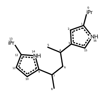 CC(C)c1cc(C(C)CC(C)c2ccc(C(C)C)[nH]2)c[nH]1